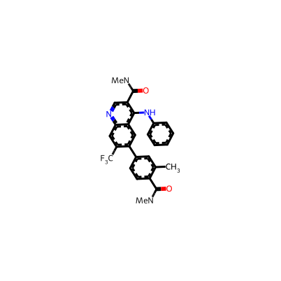 CNC(=O)c1ccc(-c2cc3c(Nc4ccccc4)c(C(=O)NC)cnc3cc2C(F)(F)F)cc1C